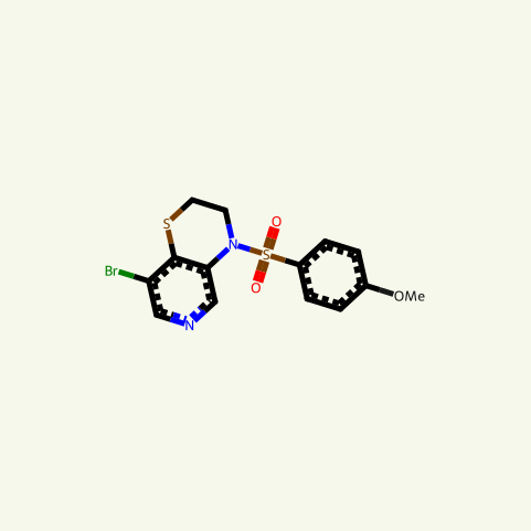 COc1ccc(S(=O)(=O)N2CCSc3c(Br)cncc32)cc1